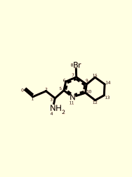 C=CCC(N)c1cc(Br)c2c(n1)CCCC2